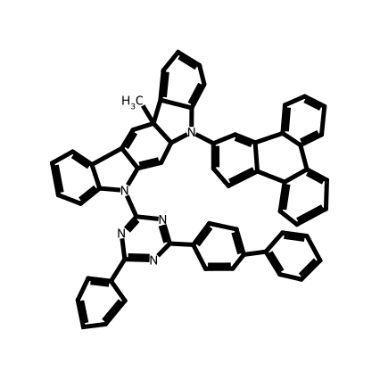 CC12C=c3c(n(-c4nc(-c5ccccc5)nc(-c5ccc(-c6ccccc6)cc5)n4)c4ccccc34)=CC1N(c1ccc3c4ccccc4c4ccccc4c3c1)c1ccccc12